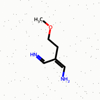 COCC/C(C=N)=C/N